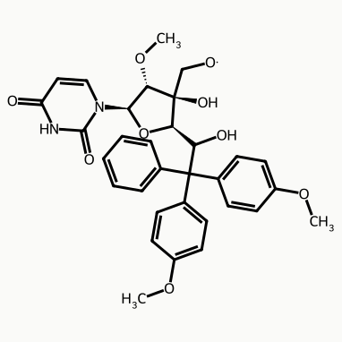 COc1ccc(C(c2ccccc2)(c2ccc(OC)cc2)C(O)[C@H]2O[C@@H](n3ccc(=O)[nH]c3=O)[C@H](OC)[C@]2(O)C[O])cc1